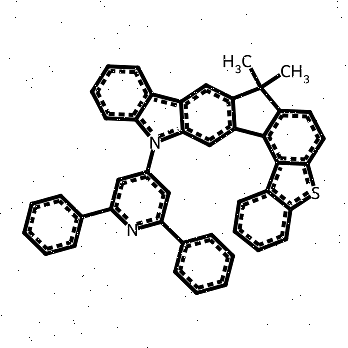 CC1(C)c2cc3c4ccccc4n(-c4cc(-c5ccccc5)nc(-c5ccccc5)c4)c3cc2-c2c1ccc1sc3ccccc3c21